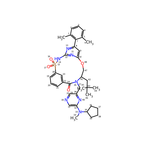 Cc1cccc(C)c1-c1cc2nc(n1)NS(=O)(=O)c1cccc(c1)C(=O)N(Cc1cncc(N(C)C3CCCC3)n1)C(CC(C)(C)C)CO2